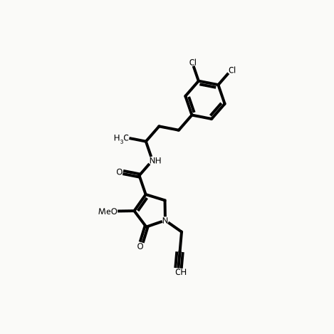 C#CCN1CC(C(=O)NC(C)CCc2ccc(Cl)c(Cl)c2)=C(OC)C1=O